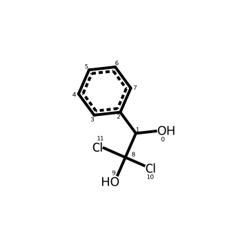 OC(c1ccccc1)C(O)(Cl)Cl